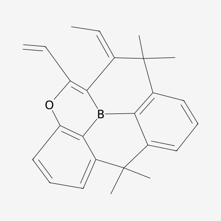 C=CC1=C2B3c4c(cccc4C(C)(C)c4cccc(c43)C(C)(C)/C2=C/C)O1